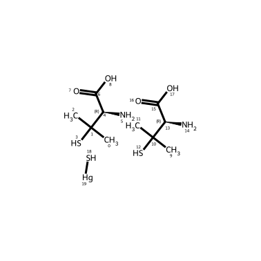 CC(C)(S)[C@H](N)C(=O)O.CC(C)(S)[C@H](N)C(=O)O.[SH][Hg]